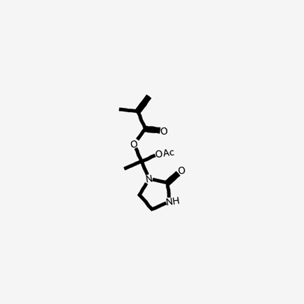 C=C(C)C(=O)OC(C)(OC(C)=O)N1CCNC1=O